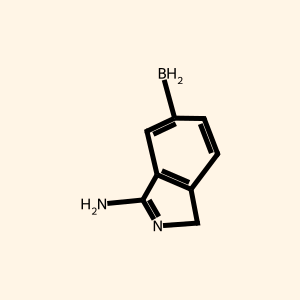 Bc1ccc2c(c1)C(N)=NC2